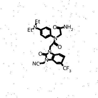 CCN(CC)c1ccc(N(CC(N)=O)C(=O)Cn2c(=O)n(CC#N)c3cc(C(F)(F)F)ccc32)cc1